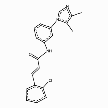 Cc1ncn(-c2cccc(NC(=O)/C=C/c3ccccc3Cl)c2)c1C